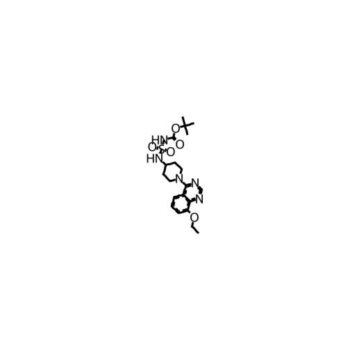 CCOc1cccc2c(N3CCC(NS(=O)(=O)NC(=O)OC(C)(C)C)CC3)ncnc12